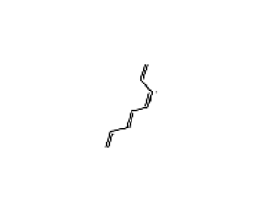 C=C/[C]=C\C=C\C=C